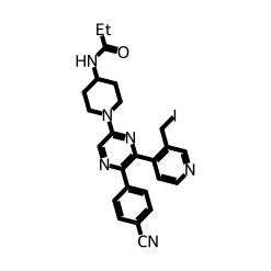 CCC(=O)NC1CCN(c2cnc(-c3ccc(C#N)cc3)c(-c3ccncc3CI)n2)CC1